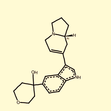 OC1(c2ccc3[nH]cc(C4=CCN5CCC[C@@H]5C4)c3c2)CCOCC1